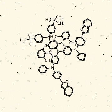 Cc1cccc(C)c1N1c2cc(N(c3ccccc3)c3ccc(-c4cc5ccccc5o4)cc3)ccc2B2c3ccc(N(c4ccccc4)c4ccc(-c5cc6ccccc6o5)cc4)cc3N(c3c(C)cccc3C)c3cc(N(c4ccc(C(C)(C)C)cc4)c4ccc(C(C)(C)C)cc4)cc1c32